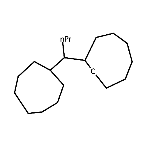 CCCC(C1CCCCCCC1)C1CCCCCCC1